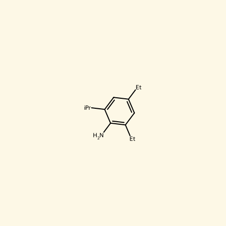 CCc1cc(CC)c(N)c(C(C)C)c1